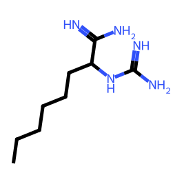 CCCCCCC(NC(=N)N)C(=N)N